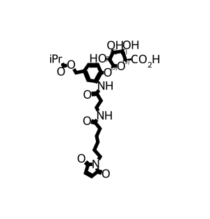 CC(C)C(=O)OCc1ccc(O[C@@H]2O[C@H](C(=O)O)[C@@H](O)[C@H](O)[C@H]2O)c(NC(=O)CCNC(=O)CCCCCN2C(=O)C=CC2=O)c1